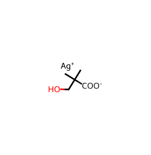 CC(C)(CO)C(=O)[O-].[Ag+]